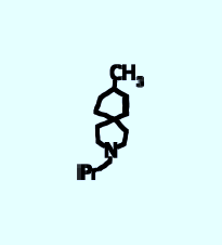 CC(C)CN1CCC2(C=CC(C)CC2)CC1